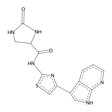 O=C1NCC(C(=O)Nc2nc(-c3c[nH]c4ncccc34)cs2)N1